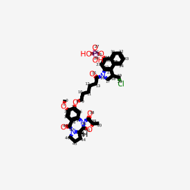 COc1cc2c(cc1OCCCCCC(=O)N1CC(CCl)c3c1cc(OP(=O)(O)O)c1ccccc31)N1C(=O)C(C)OC1[C@@H]1CCCN1C2=O